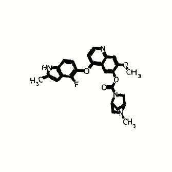 COc1cc2nccc(Oc3ccc4[nH]c(C)cc4c3F)c2cc1OC(=O)N1CC2CC1CN2C